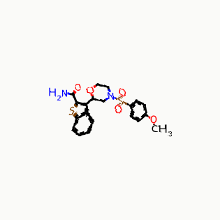 COc1ccc(S(=O)(=O)N2CCOC(c3c(C(N)=O)sc4ccccc34)C2)cc1